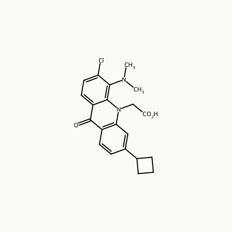 CN(C)c1c(Cl)ccc2c(=O)c3ccc(C4CCC4)cc3n(CC(=O)O)c12